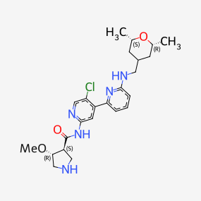 CO[C@H]1CNC[C@@H]1C(=O)Nc1cc(-c2cccc(NCC3C[C@@H](C)O[C@@H](C)C3)n2)c(Cl)cn1